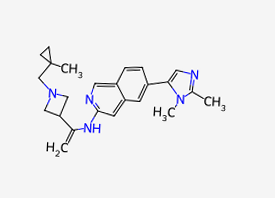 C=C(Nc1cc2cc(-c3cnc(C)n3C)ccc2cn1)C1CN(CC2(C)CC2)C1